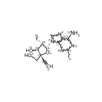 C#C[C@]1(CO)O[C@@H](n2cnc3c(N)nc(F)nc32)[C@@H](F)[C@@H]1O